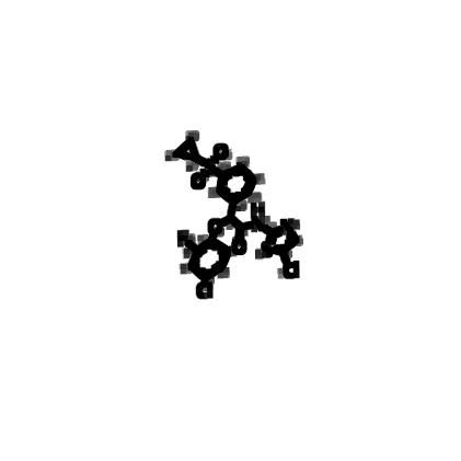 O=C(Nc1ncc(Cl)s1)C(Oc1ccc(Cl)cc1F)c1cccc(S(=O)(=O)C2CC2)c1